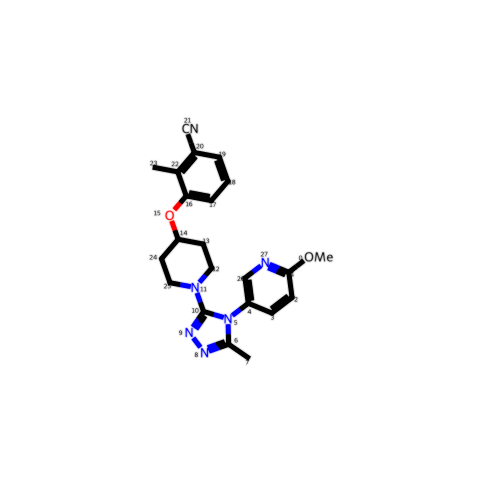 COc1ccc(-n2c(C)nnc2N2CCC(Oc3cccc(C#N)c3C)CC2)cn1